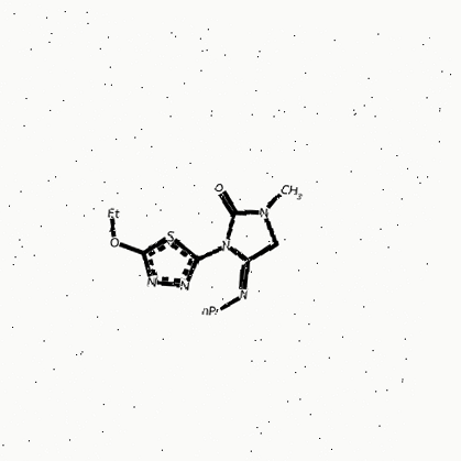 CCCN=C1CN(C)C(=O)N1c1nnc(OCC)s1